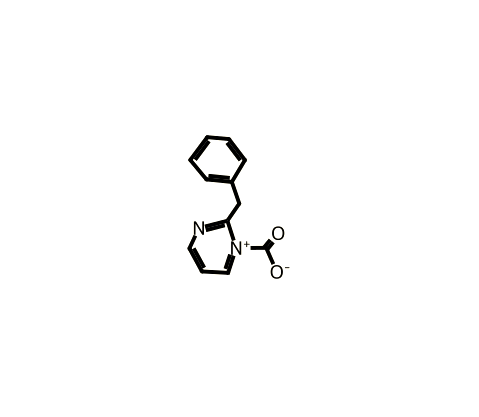 O=C([O-])[n+]1cccnc1Cc1ccccc1